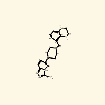 FC(F)(F)c1nnc2ccc(N3CCN(Cc4cccc5c4OCCO5)CC3)nn12